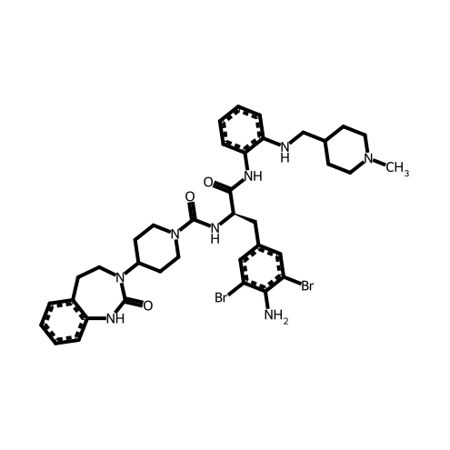 CN1CCC(CNc2ccccc2NC(=O)[C@@H](Cc2cc(Br)c(N)c(Br)c2)NC(=O)N2CCC(N3CCc4ccccc4NC3=O)CC2)CC1